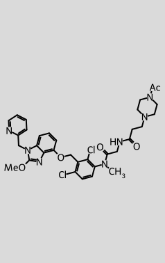 COc1nc2c(OCc3c(Cl)ccc(N(C)C(=O)CNC(=O)CCN4CCN(C(C)=O)CC4)c3Cl)cccc2n1Cc1ccccn1